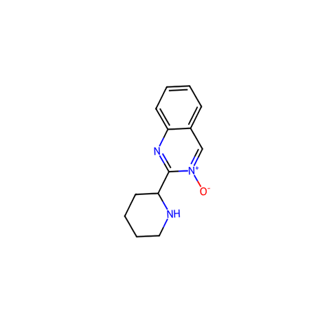 [O-][n+]1cc2ccccc2nc1C1CCCCN1